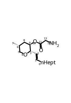 CCCCCCCC=C[C@@H]1OC[C@H](C)C[C@H]1OC(=O)CN